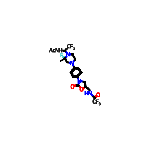 CC(=O)NC(N1CCN(c2ccc(N3CC(CNC(=O)C(F)(F)F)OC3=O)cc2)C[C@]1(C)F)C(F)(F)F